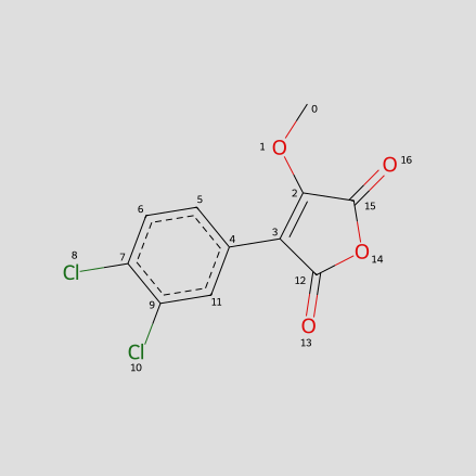 COC1=C(c2ccc(Cl)c(Cl)c2)C(=O)OC1=O